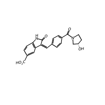 O=C1Nc2ccc(C(=O)O)cc2/C1=C/c1ccc(C(=O)N2CC[C@H](O)C2)cc1